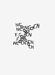 N#Cc1ccc(-c2ccc3c(c2)c2cc(-c4ccc(C#N)cc4C#N)ccc2n3-c2cc(-c3cc(C(F)(F)F)cc(C(F)(F)F)c3)c(-n3c4ccc(-c5ccc(C#N)cc5C#N)cc4c4cc(-c5ccc(C#N)cc5C#N)ccc43)cc2C#N)c(C#N)c1